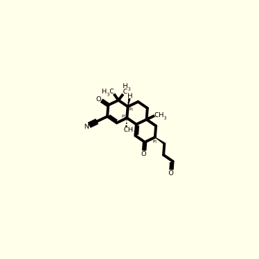 CC12CC[C@H]3C(C)(C)C(=O)C(C#N)=C[C@]3(C)C1=CC(=O)[C@H](CCC=O)C2